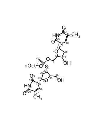 CCCCCCCCOP(=S)(OC[C@H]1O[C@@H](n2cc(C)c(=O)[nH]c2=O)CC1O)OC1C[C@H](n2cc(C)c(=O)[nH]c2=O)O[C@@H]1CO